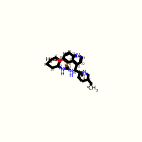 CCC1CN2CCC1CC2[C@H](NC(=S)NC1CCCCC1)c1ccnc2ccc(OC)cc12